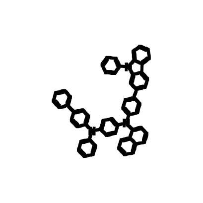 c1ccc(-c2ccc(N(c3ccccc3)c3ccc(N(c4ccc(-c5ccc6c7ccccc7n(-c7ccccc7)c6c5)cc4)c4cccc5ccccc45)cc3)cc2)cc1